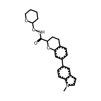 Cn1ccc2cc(-c3ccc4c(c3)OC(C(=O)NOC3CCCCO3)CC4)ccc21